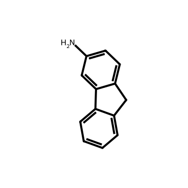 Nc1ccc2c(c1)-c1ccccc1C2